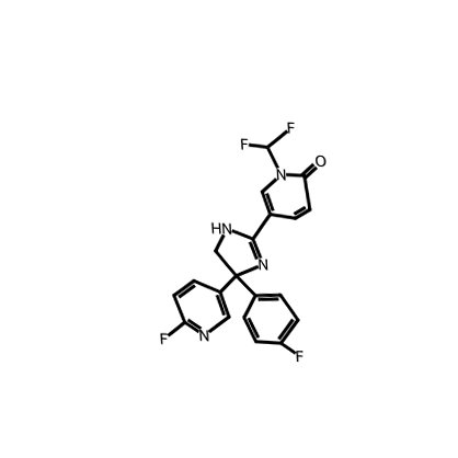 O=c1ccc(C2=NC(c3ccc(F)cc3)(c3ccc(F)nc3)CN2)cn1C(F)F